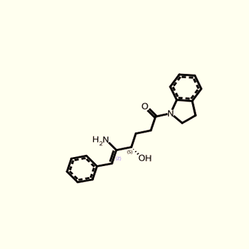 N/C(=C\c1ccccc1)[C@@H](O)CCC(=O)N1CCc2ccccc21